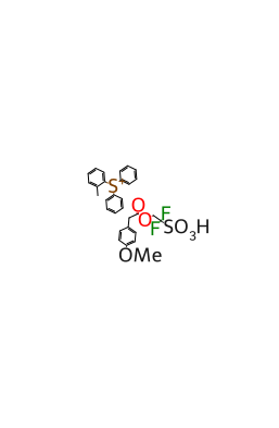 COc1ccc(CC(=O)OCC(F)(F)S(=O)(=O)O)cc1.Cc1ccccc1[S+](c1ccccc1)c1ccccc1